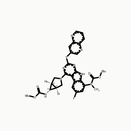 CN(C(=O)OC(C)(C)C)c1cc(F)cc2c1[nH]c1nc(Sc3cnc4cccnc4c3)nc(N3C[C@@H]4[C@H](C3)[C@H]4NC(=O)OC(C)(C)C)c12